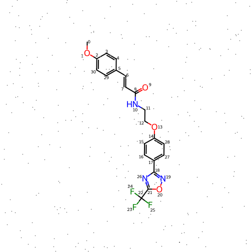 COc1ccc(/C=C/C(=O)NCCOc2ccc(-c3noc(C(F)(F)F)n3)cc2)cc1